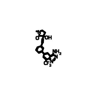 CN1CCC(O)(C#Cc2cccc(-c3cc(C(F)(F)F)c4ncnc(N)c4c3)c2)C1=O